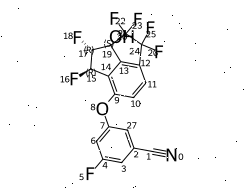 N#Cc1cc(F)cc(Oc2ccc3c4c2[C@@H](F)[C@H](F)[C@]4(O)C(F)(F)C3(F)F)c1